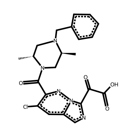 C[C@@H]1CN(Cc2ccccc2)[C@@H](C)CN1C(=O)c1nn2c(C(=O)C(=O)O)ncc2cc1Cl